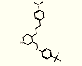 CN(C)c1ccc(CCCC2CCNCC2COc2ccc(C(F)(F)F)cc2)cc1